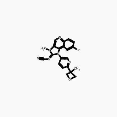 Cn1c(=NC#N)n(-c2ccc(C3(C)COC3)nc2)c2c3cc(Br)ccc3ncc21